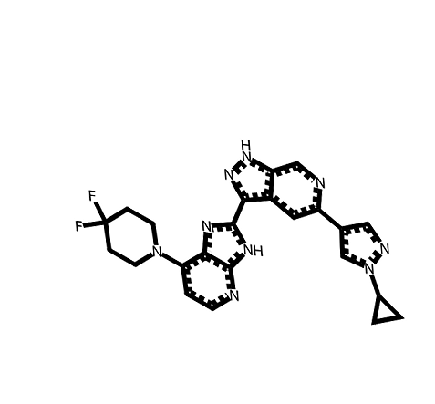 FC1(F)CCN(c2ccnc3[nH]c(-c4n[nH]c5cnc(-c6cnn(C7CC7)c6)cc45)nc23)CC1